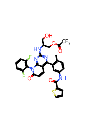 Cc1ccc(NC(=O)c2cccs2)cc1-c1nc(NC(CO)COC(=O)C(F)(F)F)nc2c1ccc(=O)n2-c1c(F)cccc1F